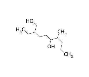 CCCC(C)C(O)CCC(CC)CO